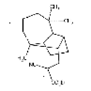 CCOC(=O)C(C#N)CC1C2CCC3C2C(C)(C)CCCC13C